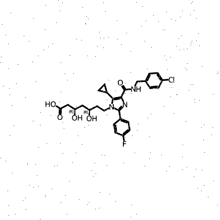 O=C(O)C[C@H](O)C[C@H](O)CCn1c(-c2ccc(F)cc2)nc(C(=O)NCc2ccc(Cl)cc2)c1C1CC1